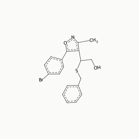 Cc1noc(-c2ccc(Br)cc2)c1C(CO)SCc1ccccc1